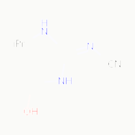 CC(C)N/C(=N/C#N)NCO